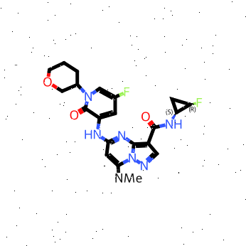 CNc1cc(Nc2cc(F)cn(C3CCCOC3)c2=O)nc2c(C(=O)N[C@H]3C[C@H]3F)cnn12